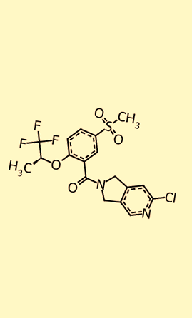 C[C@H](Oc1ccc(S(C)(=O)=O)cc1C(=O)N1Cc2cnc(Cl)cc2C1)C(F)(F)F